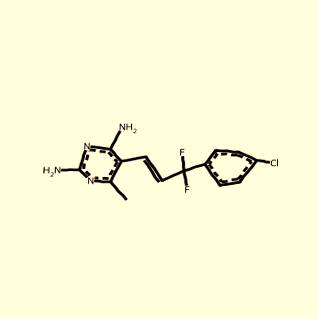 Cc1nc(N)nc(N)c1C=CC(F)(F)c1ccc(Cl)cc1